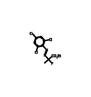 CCOC(=O)C(C)(F)N=Nc1c(Cl)cc(Cl)cc1Cl